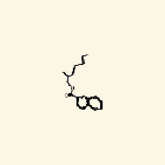 CC=CCCC(C)COC(=O)c1ccc2ccccc2c1